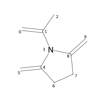 C=C(C)N1C(=C)CCC1=C